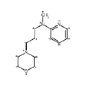 CN(CCCN1CCOCC1)c1[c]cccn1